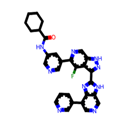 O=C(Nc1cncc(-c2ncc3[nH]nc(-c4nc5c(-c6cccnc6)cncc5[nH]4)c3c2F)c1)C1CCCCC1